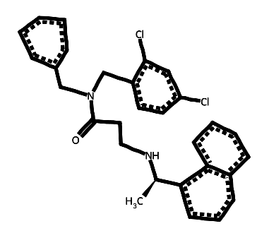 C[C@@H](NCCC(=O)N(Cc1ccccc1)Cc1ccc(Cl)cc1Cl)c1cccc2ccccc12